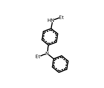 CCNc1ccc(N(CC)c2ccccc2)cc1